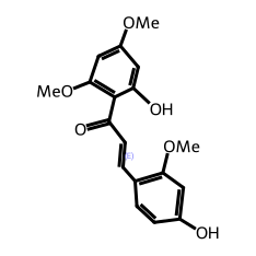 COc1cc(O)c(C(=O)/C=C/c2ccc(O)cc2OC)c(OC)c1